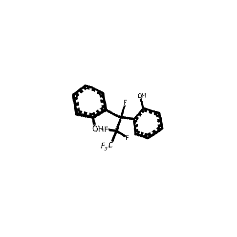 Oc1ccccc1C(F)(c1ccccc1O)C(F)(F)C(F)(F)F